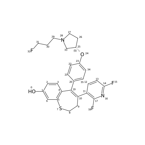 Oc1ccc2c(c1)SCCC(c1ccc(F)nc1F)=C2c1ccc(O[C@H]2CCN(CCCF)C2)cc1